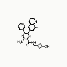 Nc1nc(-c2ccccc2)c(-c2cc(Cl)c3ncccc3c2)nc1C(=O)NCC1CC(O)C1